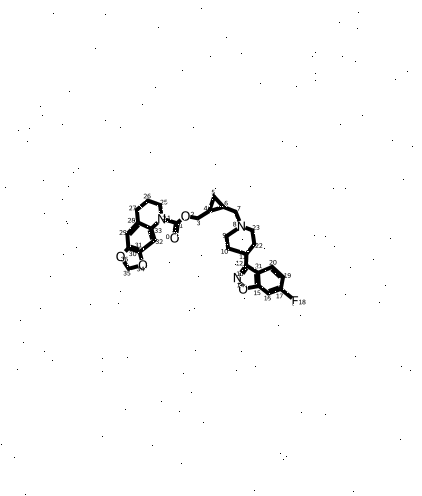 O=C(OCC1CC1CN1CCC(c2noc3cc(F)ccc23)CC1)N1CCCc2cc3c(cc21)OCO3